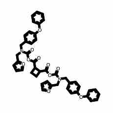 O=C(OC(=O)N(Cc1ccc(Oc2ccccc2)cc1)Cc1ccco1)C1CCC1C(=O)OC(=O)N(Cc1ccc(Oc2ccccc2)cc1)Cc1ccco1